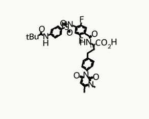 Cc1cc(=O)n(-c2ccc(CC[C@H](NC(=O)c3cc(F)c(NS(=O)(=O)c4ccc(NC(=O)C(C)(C)C)cc4)cc3F)C(=O)O)cc2)c(=O)n1C